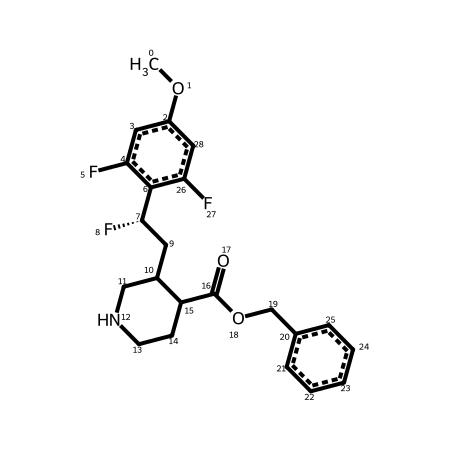 COc1cc(F)c([C@@H](F)CC2CNCCC2C(=O)OCc2ccccc2)c(F)c1